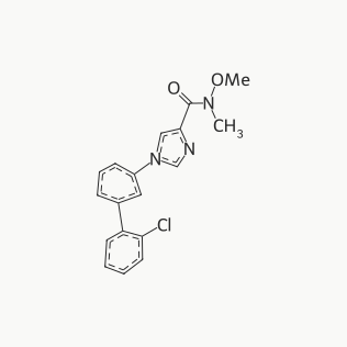 CON(C)C(=O)c1cn(-c2cccc(-c3ccccc3Cl)c2)cn1